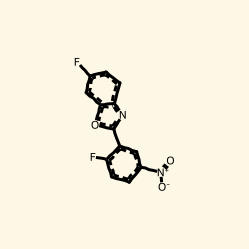 O=[N+]([O-])c1ccc(F)c(-c2nc3ccc(F)cc3o2)c1